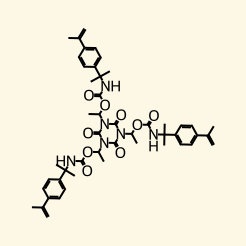 C=C(C)c1ccc(C(C)(C)NC(=O)OC(C)n2c(=O)n(C(C)OC(=O)NC(C)(C)c3ccc(C(=C)C)cc3)c(=O)n(C(C)OC(=O)NC(C)(C)c3ccc(C(=C)C)cc3)c2=O)cc1